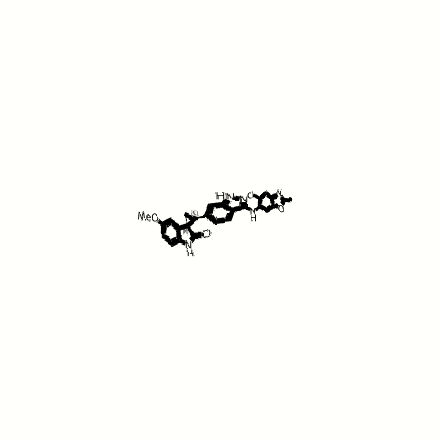 COc1ccc2c(c1)[C@]1(C[C@H]1c1ccc3c(Nc4cc5oc(C)nc5cc4Cl)n[nH]c3c1)C(=O)N2